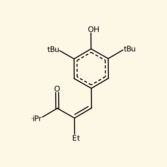 CCC(=Cc1cc(C(C)(C)C)c(O)c(C(C)(C)C)c1)C(=O)[C](C)C